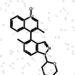 Cc1ccc2c(cnn2C2CCCCO2)c1-c1c(C)c[n+]([O-])c2ccccc12